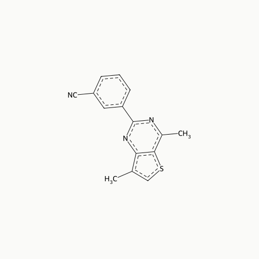 Cc1csc2c(C)nc(-c3cccc(C#N)c3)nc12